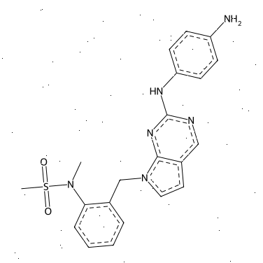 CN(c1ccccc1Cn1ccc2cnc(Nc3ccc(N)cc3)nc21)S(C)(=O)=O